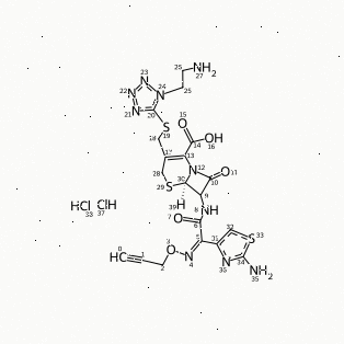 C#CCO/N=C(\C(=O)NC1C(=O)N2C(C(=O)O)=C(CSc3nnnn3CCN)CS[C@H]12)c1csc(N)n1.Cl.Cl